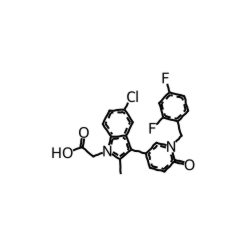 Cc1c(-c2ccc(=O)n(Cc3ccc(F)cc3F)c2)c2cc(Cl)ccc2n1CC(=O)O